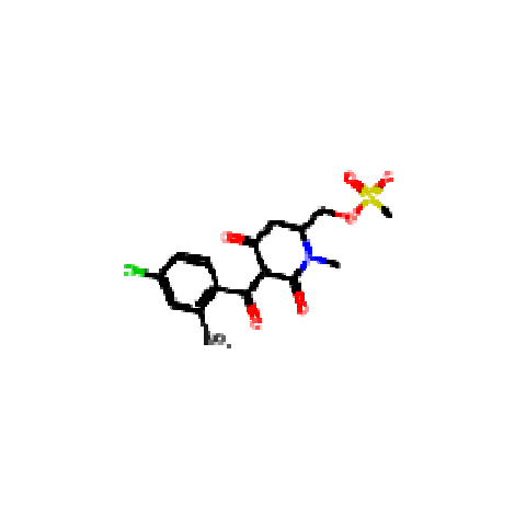 CN1C(=O)C(C(=O)c2ccc(Cl)cc2[N+](=O)[O-])C(=O)CC1COS(C)(=O)=O